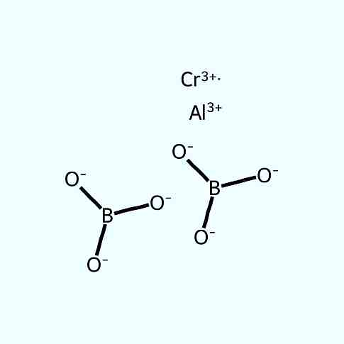 [Al+3].[Cr+3].[O-]B([O-])[O-].[O-]B([O-])[O-]